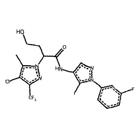 Cc1c(Cl)c(C(F)(F)F)nn1C(CCO)C(=O)Nc1cnn(-c2cccc(F)c2)c1I